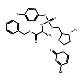 C[C@H](NP(=O)(OCC1O[C@@H](n2ccc(N)nc2=O)C[C@H]1O)Oc1ccc(F)cc1)C(=O)OCc1ccccc1